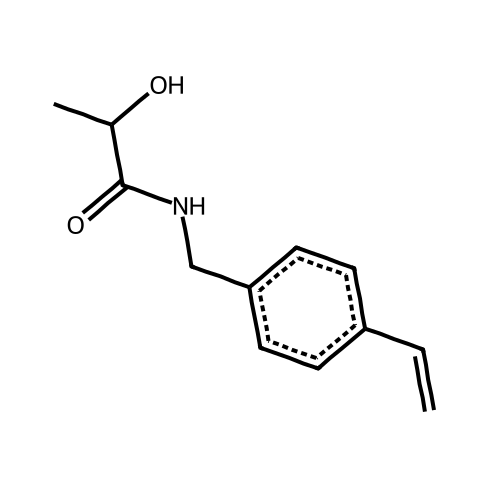 C=Cc1ccc(CNC(=O)C(C)O)cc1